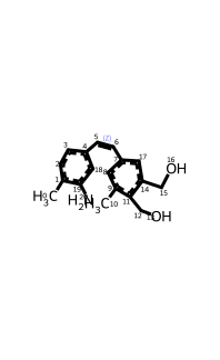 Cc1ccc(/C=C\c2cc(C)c(CO)c(CO)c2)cc1N